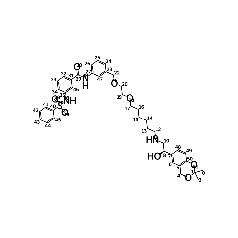 CC1(C)OCc2cc([C@@H](O)CNCCCCCCOCCOCc3cccc(NC(=O)c4cccc(NS(=O)(=O)c5ccccc5)c4)c3)ccc2O1